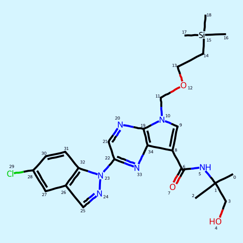 CC(C)(CO)NC(=O)c1cn(COCC[Si](C)(C)C)c2ncc(-n3ncc4cc(Cl)ccc43)nc12